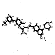 CN1CCN(c2nc(N)nc3cc(C(=O)N[C@@H](Cc4ccc(-c5cncc(C(F)(F)F)c5)cc4)C(=O)N(C)C)ccc23)CC1